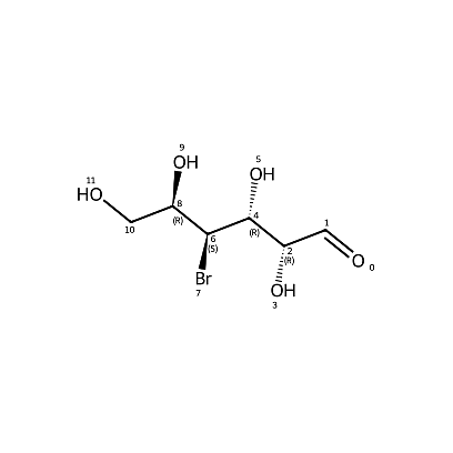 O=C[C@H](O)[C@@H](O)[C@@H](Br)[C@H](O)CO